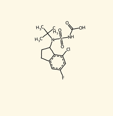 CC(C)(C)N(C1CCc2cc(F)cc(Cl)c21)S(=O)(=O)NC(=O)O